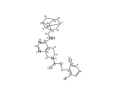 O=C(SCc1c(F)cccc1Cl)N1CCc2c(ncnc2NCC23CC4CC(CC(C4)C2)C3)C1